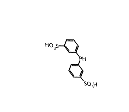 O=S(=O)(O)c1cccc(Pc2cccc(S(=O)(=O)O)c2)c1